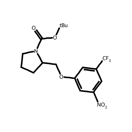 CC(C)(C)OC(=O)N1CCCC1COc1cc([N+](=O)[O-])cc(C(F)(F)F)c1